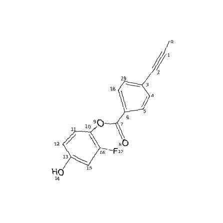 CC#Cc1ccc(C(=O)Oc2ccc(O)cc2F)cc1